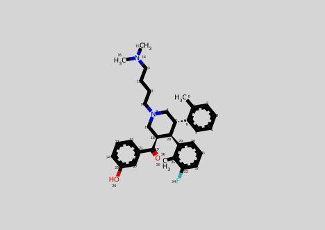 Cc1[c]cccc1[C@H]1CN(CCCCN(C)C)C[C@H](C(=O)c2cccc(O)c2)[C@@H]1c1cccc(F)c1C